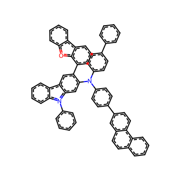 c1ccc(-c2ccc(N(c3ccc(-c4ccc5c(ccc6ccccc65)c4)cc3)c3cc4c(cc3-c3cccc5c3oc3ccccc35)c3ccccc3n4-c3ccccc3)cc2)cc1